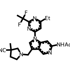 CCc1cc(-n2cc(CN3CCC(C)(C#N)C3)c3cnc(NC(C)=O)cc32)nc(C(C)(F)F)n1